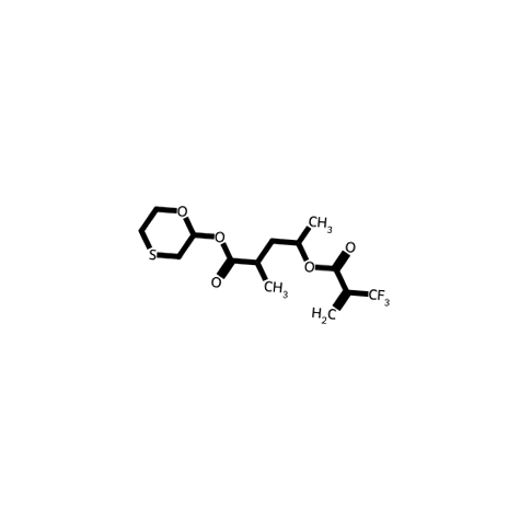 C=C(C(=O)OC(C)CC(C)C(=O)OC1CSCCO1)C(F)(F)F